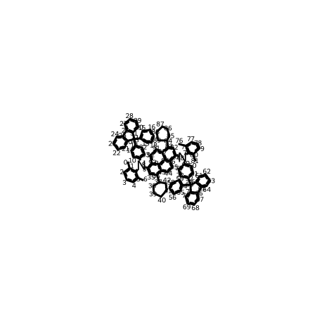 Cc1cccc(C)c1N(c1ccc(C2(c3ccccc3)c3ccccc3-c3ccccc32)cc1)c1cc(C2CCCCC2)c2ccc3c(N(c4ccc(C5(c6ccccc6)c6ccccc6-c6ccccc65)cc4)c4c(C)cccc4C)cc(C4CCCCC4)c4ccc1c2c43